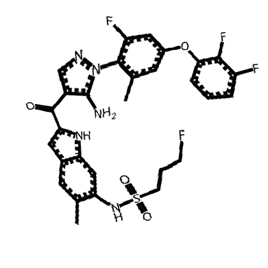 Cc1cc2cc(C(=O)c3cnn(-c4c(C)cc(Oc5cccc(F)c5F)cc4F)c3N)[nH]c2cc1NS(=O)(=O)CCCF